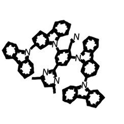 Cc1cc(C)nc(-c2cc(-n3c4ccccc4c4ccc(-n5c6ccccc6c6ccccc65)cc43)c(C#N)c(-n3c4ccccc4c4ccc(-n5c6ccccc6c6ccccc65)cc43)c2)n1